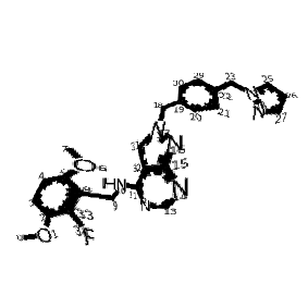 COc1ccc(OC)c(CNc2ncnc3nn(Cc4ccc(Cn5cccn5)cc4)cc23)c1F